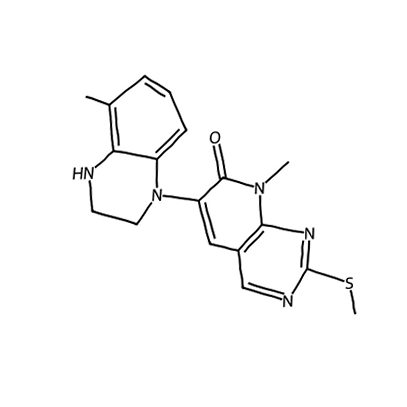 CSc1ncc2cc(N3CCNc4c(C)cccc43)c(=O)n(C)c2n1